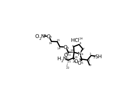 CC(CS)C(=O)N1CCC[C@@]1(C(=O)OCCCO[N+](=O)[O-])C(=O)[C@H](C)N.Cl